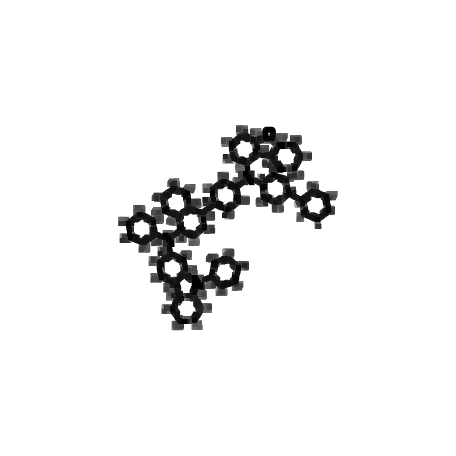 c1ccc(-c2ccc(N(c3ccc(-c4ccc(N(c5ccccc5)c5ccc6c7ccccc7n(-c7ccccc7)c6c5)c5ccccc45)cc3)c3cccc4oc5ccccc5c34)cc2)cc1